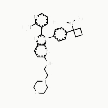 CC(C)(C)N(C(=O)O)C1(c2ccc(-n3c(-c4cccnc4N)nc4ccc(NCCN5CCOCC5)nc43)cc2)CCC1